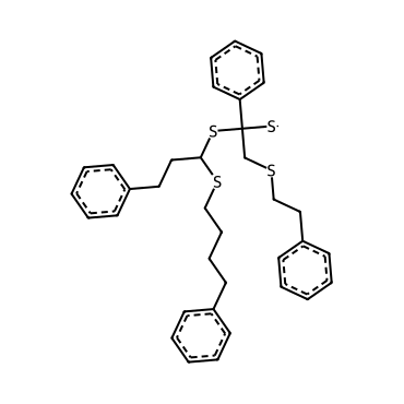 [S]C(CSCCc1ccccc1)(SC(CCc1ccccc1)SCCCCc1ccccc1)c1ccccc1